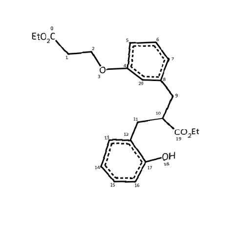 CCOC(=O)CCOc1cccc(CC(Cc2ccccc2O)C(=O)OCC)c1